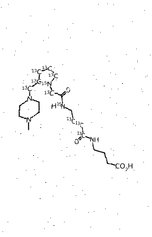 CN1CCN([13CH2][13CH]2[13CH2][13CH2][13CH2][15N]2[13CH2]C(=O)[15NH]C[13CH2][13CH2][13C](=O)NCCCC(=O)O)CC1